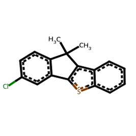 CC1(C)c2ccc(Cl)cc2-c2sc3ccccc3c21